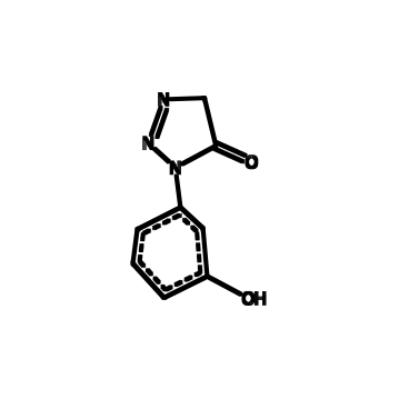 O=C1CN=NN1c1cccc(O)c1